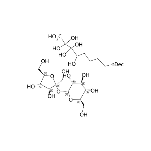 CCCCCCCCCCCCCCC(O)C(O)(O)C(O)(O)C(=O)O.OC[C@H]1O[C@@](CO)(O[C@H]2O[C@H](CO)[C@@H](O)[C@H](O)[C@H]2O)[C@@H](O)[C@@H]1O